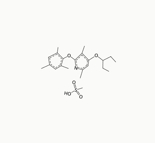 CCC(CC)Oc1cc(C)nc(Oc2c(C)cc(C)cc2C)c1C.CS(=O)(=O)O